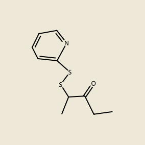 CCC(=O)C(C)SSc1ccccn1